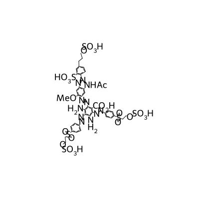 COc1cc(N=Nc2ccc(CCCOS(=O)(=O)O)cc2S(=O)(=O)O)c(NC(C)=O)cc1N=Nc1c(N)c(N=Nc2ccc(S(=O)(=O)CCOS(=O)(=O)O)cc2)c(N)c(N=Nc2ccc(S(=O)(=O)CCOS(=O)(=O)O)cc2)c1C(=O)O